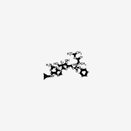 CC(C)OC(=O)[C@H](C)NP(=O)(OCC1O[C@@H](n2cnc3c(NC4CC4)nc(N)nc32)[C@@](F)(CO)[C@@H]1O)Oc1ccccc1